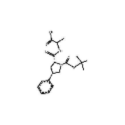 CC(NC(=O)[C@H]1C[C@H](c2ccccc2)CN1C(=O)OC(C)(C)C)C(=O)O